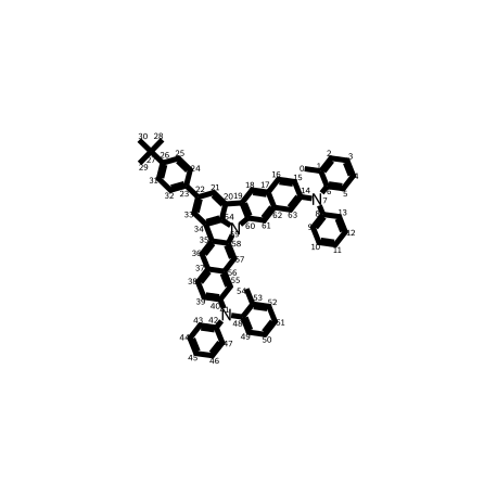 Cc1ccccc1N(c1ccccc1)c1ccc2cc3c4cc(-c5ccc(C(C)(C)C)cc5)cc5c6cc7ccc(N(c8ccccc8)c8ccccc8C)cc7cc6n(c3cc2c1)c45